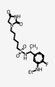 CCNc1cc([C@@H](C)NS(=O)(=O)CCCCCN2CC(=O)NC2=O)ccc1F